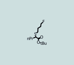 CCCC(SCCCCF)C(=O)OC(C)(C)C